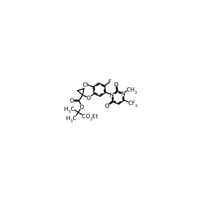 CCOC(=O)C(C)(C)OC(=O)C1(Oc2cc(-n3c(=O)cc(C(F)(F)F)n(C)c3=O)c(F)cc2Cl)CC1